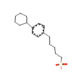 O=S(=O)(O)CCCCCc1ccc(C2CCCCC2)cc1